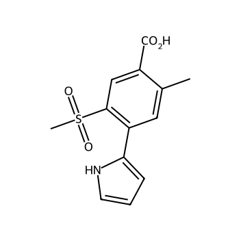 Cc1cc(-c2ccc[nH]2)c(S(C)(=O)=O)cc1C(=O)O